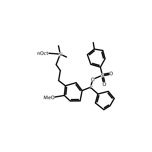 CCCCCCCC[Si](C)(C)CCCc1cc([I+](OS(=O)(=O)c2ccc(C)cc2)c2ccccc2)ccc1OC